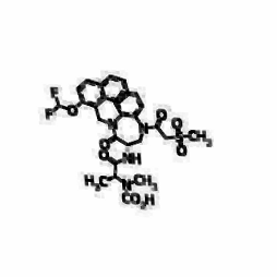 C[C@@H](C(=O)N[C@H]1CN(C(=O)CS(C)(=O)=O)c2ccccc2N(Cc2c(OC(F)F)ccc3ccccc23)C1=O)N(C)C(=O)O